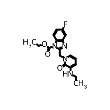 CCNc1cccn(Cc2nc3cc(F)ccc3n2C(=O)OCC)c1=O